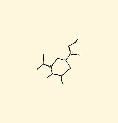 CCN(C)C1CC(C)C(C)N(C(C)C)C1